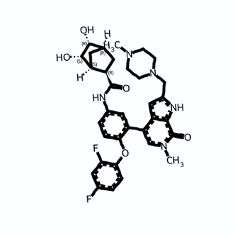 CN1CCN(Cc2cc3c(-c4cc(NC(=O)[C@@H]5C[C@H]6C[C@@H]5[C@H](O)[C@@H]6O)ccc4Oc4ccc(F)cc4F)cn(C)c(=O)c3[nH]2)CC1